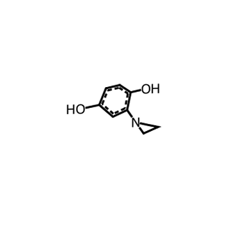 Oc1ccc(O)c(N2CC2)c1